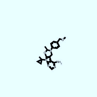 COCc1ccc(N2Cc3c(n(C4(C)CC4)c4ncnc(N)c34)OC2C)cc1